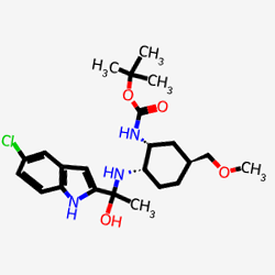 COC[C@H]1CC[C@H](NC(C)(O)c2cc3cc(Cl)ccc3[nH]2)[C@H](NC(=O)OC(C)(C)C)C1